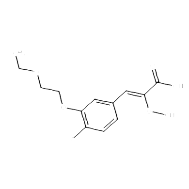 CCOCCOc1cc(C=C(OC)C(=O)O)ccc1I